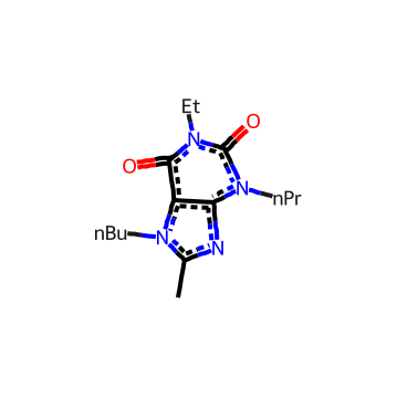 CCCCn1c(C)nc2c1c(=O)n(CC)c(=O)n2CCC